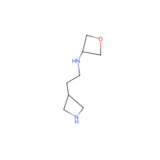 C(CC1CNC1)NC1COC1